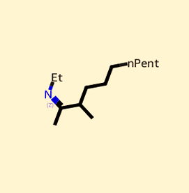 CCCCCCCCC(C)/C(C)=N\CC